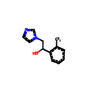 OC(Cn1ccnc1)c1ccccc1C(F)(F)F